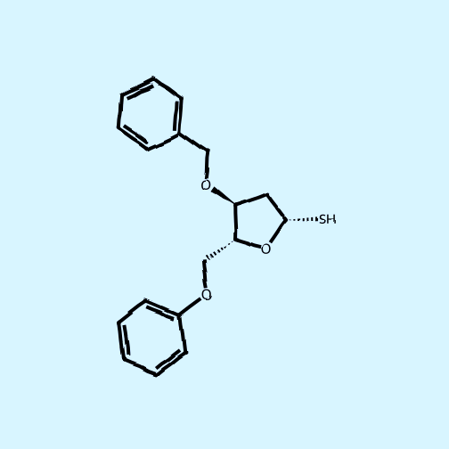 S[C@H]1C[C@H](OCc2ccccc2)[C@@H](COc2ccccc2)O1